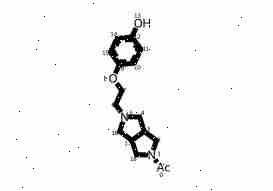 CC(=O)N1CC2CN(CCOc3ccc(O)cc3)CC2C1